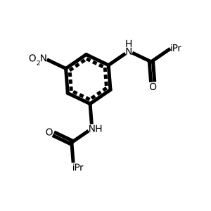 CC(C)C(=O)Nc1cc(NC(=O)C(C)C)cc([N+](=O)[O-])c1